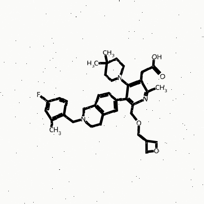 Cc1cc(F)ccc1CN1CCc2cc(-c3c(COCC4COC4)nc(C)c(CC(=O)O)c3N3CCC(C)(C)CC3)ccc2C1